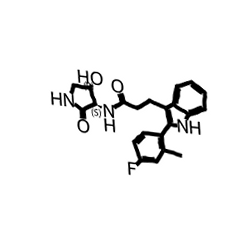 Cc1cc(F)ccc1-c1[nH]c2ccccc2c1CCC(=O)N[C@@H]1C(=O)NC[C@H]1O